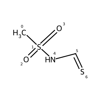 CS(=O)(=O)NC=S